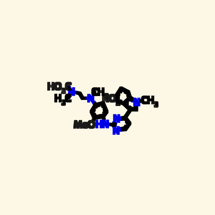 COc1cc(N(C)CCN(C)C(=O)O)c([N+](=O)[O-])cc1Nc1nccc(-c2cn(C)c3ccccc23)n1